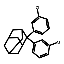 Clc1cccc(C2(c3cccc(Cl)c3)C3CC4CC(C3)CC2C4)c1